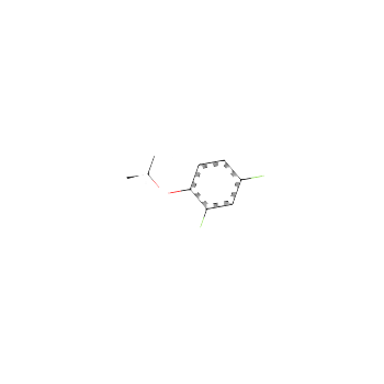 CC[C@H](Oc1ccc(F)cc1F)C(=O)O